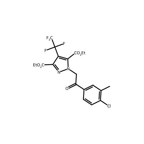 CCOC(=O)c1nn(CC(=O)c2ccc(Cl)c(C)c2)c(C(=O)OCC)c1C(F)(F)C(F)(F)F